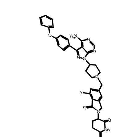 Nc1ncnc2c1c(-c1ccc(Oc3ccccc3)cc1)nn2C1CCN(Cc2cc(F)c3c(c2)CN(C2CCC(=O)NC2=O)C3=O)CC1